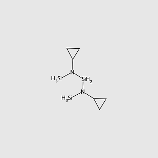 [SiH3]N([SiH2]N([SiH3])C1CC1)C1CC1